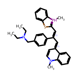 CCN(CC)Cc1ccc(C(=C\C2=[PH](C)c3ccccc3S2)/C=C2\C=CN(C)c3ccccc32)cc1